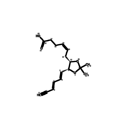 C#C/C=C/C=C/[C@H]1OC(C)(C)O[C@H]1C/C=C\CCC(=O)O